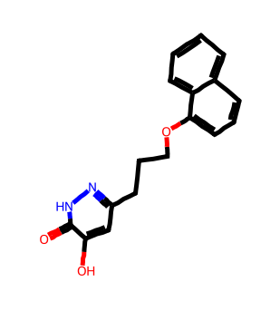 O=c1[nH]nc(CCCOc2cccc3ccccc23)cc1O